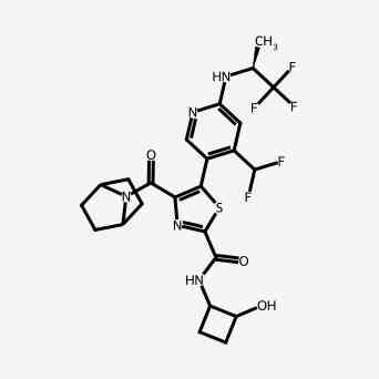 C[C@H](Nc1cc(C(F)F)c(-c2sc(C(=O)NC3CCC3O)nc2C(=O)N2C3CCC2CC3)cn1)C(F)(F)F